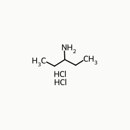 CCC(N)CC.Cl.Cl